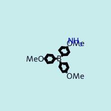 COc1ccc(B(c2ccc(OC)cc2)c2ccc(OC)cc2)cc1.N